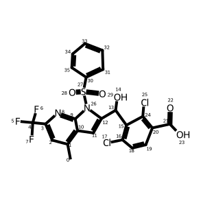 Cc1cc(C(F)(F)F)nc2c1cc(C(O)c1c(Cl)ccc(C(=O)O)c1Cl)n2S(=O)(=O)c1ccccc1